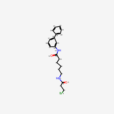 O=C(CCBr)NCCCCCC(=O)Nc1cccc(-c2ccccc2)c1